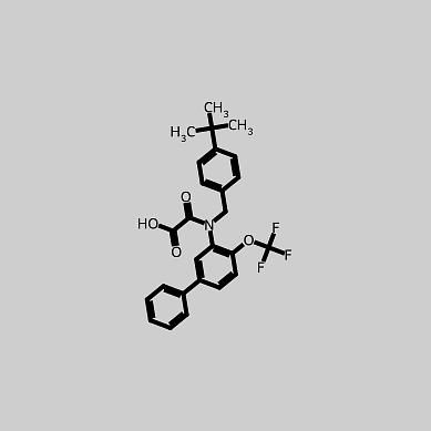 CC(C)(C)c1ccc(CN(C(=O)C(=O)O)c2cc(-c3ccccc3)ccc2OC(F)(F)F)cc1